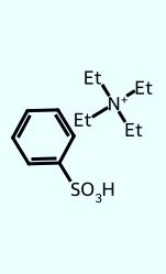 CC[N+](CC)(CC)CC.O=S(=O)(O)c1ccccc1